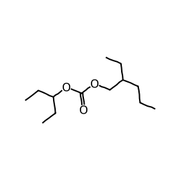 CCCC(CC)COC(=O)OC(CC)CC